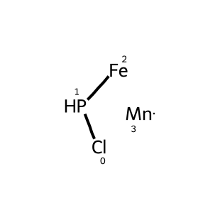 Cl[PH][Fe].[Mn]